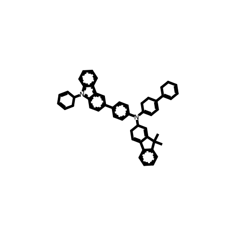 CC1(C)C2=CC(N(C3=CC=C(C4=CC=CCC4)CC3)c3ccc(-c4ccc5c(c4)c4ccccc4n5C4C=CC=CC4)cc3)CC=C2c2ccccc21